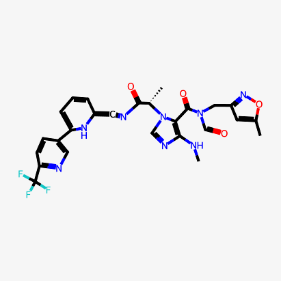 CNc1ncn([C@@H](C)C(=O)N=C=C2C=CC=C(c3ccc(C(F)(F)F)nc3)N2)c1C(=O)N(C=O)Cc1cc(C)on1